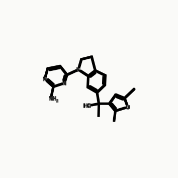 Cc1cc(C(C)(O)c2ccc3c(c2)N(c2ccnc(N)n2)CC3)c(C)o1